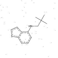 CC(C)(C)CNc1cccc2sccc12